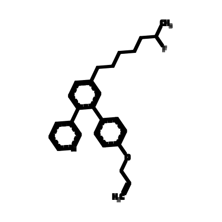 C=CCOc1ccc(-c2cc(CCCCCC(C)F)ccc2-c2cccnc2)cc1